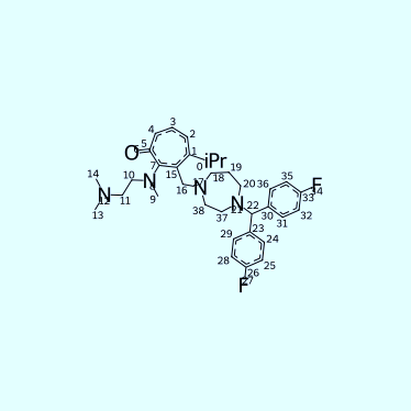 CC(C)c1cccc(=O)c(N(C)CCN(C)C)c1CN1CCCN(C(c2ccc(F)cc2)c2ccc(F)cc2)CC1